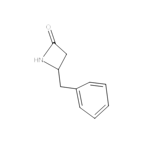 O=C1CC(Cc2ccccc2)N1